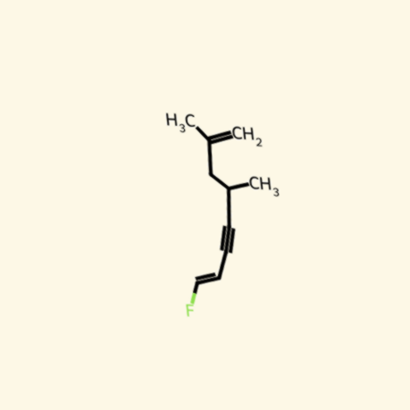 C=C(C)CC(C)C#C/C=C/F